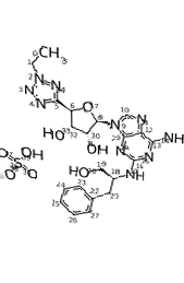 CCn1nnc([C@H]2O[C@@H](n3cnc4c(N)nc(N[C@H](CO)Cc5ccccc5)nc43)[C@H](O)[C@@H]2O)n1.O=S(=O)(O)O